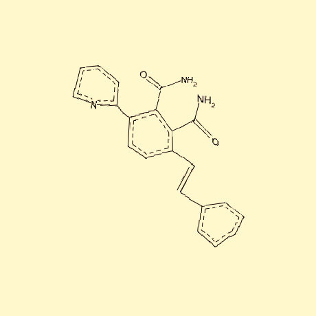 NC(=O)c1c(C=Cc2ccccc2)ccc(-c2ccccn2)c1C(N)=O